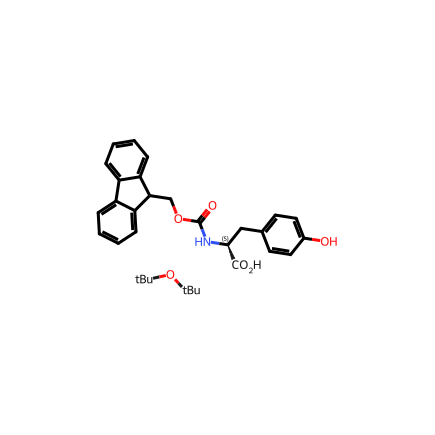 CC(C)(C)OC(C)(C)C.O=C(N[C@@H](Cc1ccc(O)cc1)C(=O)O)OCC1c2ccccc2-c2ccccc21